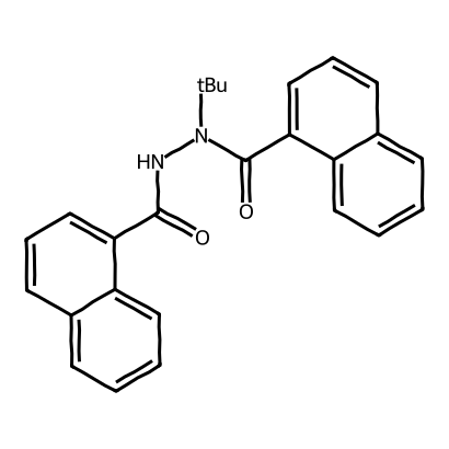 CC(C)(C)N(NC(=O)c1cccc2ccccc12)C(=O)c1cccc2ccccc12